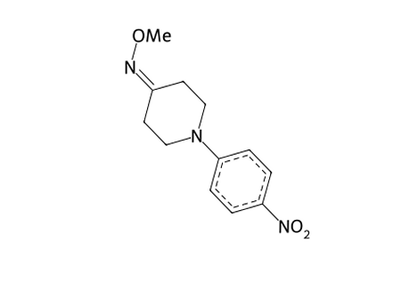 CON=C1CCN(c2ccc([N+](=O)[O-])cc2)CC1